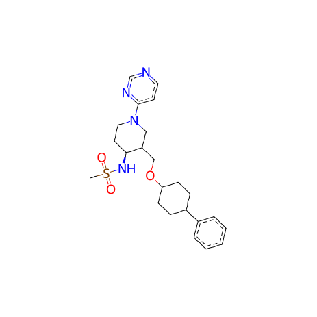 CS(=O)(=O)N[C@H]1CCN(c2ccncn2)CC1COC1CCC(c2ccccc2)CC1